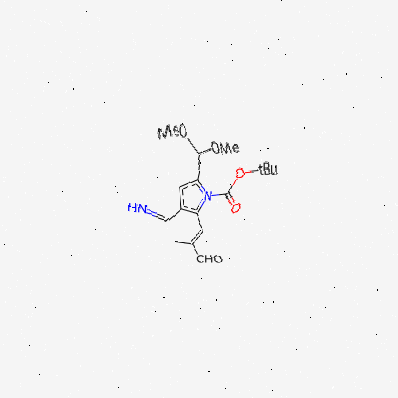 COC(OC)c1cc(C=N)c(/C=C(\C)C=O)n1C(=O)OC(C)(C)C